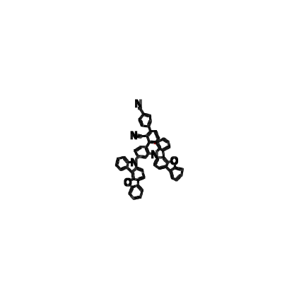 N#Cc1ccc(-c2cccc(-c3ccc(-n4c5ccccc5c5c6oc7ccccc7c6ccc54)cc3-n3c4ccccc4c4c5oc6ccccc6c5ccc43)c2C#N)cc1